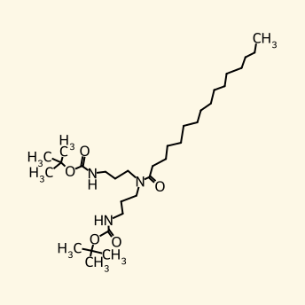 CCCCCCCCCCCCCCCC(=O)N(CCCNC(=O)OC(C)(C)C)CCCNC(=O)OC(C)(C)C